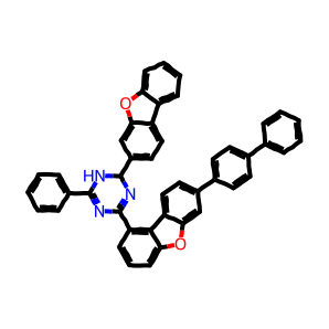 c1ccc(C2=NC(c3cccc4oc5cc(-c6ccc(-c7ccccc7)cc6)ccc5c34)=NC(c3ccc4c(c3)oc3ccccc34)N2)cc1